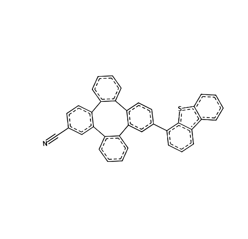 N#Cc1ccc2c(c1)-c1ccccc1-c1cc(-c3cccc4c3sc3ccccc34)ccc1-c1ccccc1-2